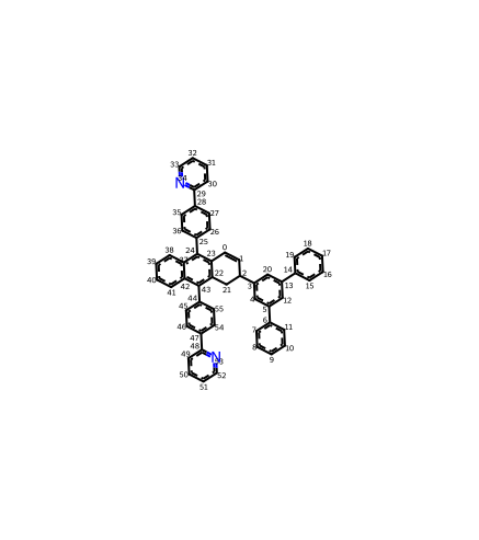 C1=CC(c2cc(-c3ccccc3)cc(-c3ccccc3)c2)Cc2c1c(-c1ccc(-c3ccccn3)cc1)c1ccccc1c2-c1ccc(-c2ccccn2)cc1